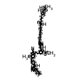 C=CC(=O)Nc1ccc(CCn2c(C#N)cc3c(C)c(CN4CCC(Nc5ncnc6sc(CC(F)(F)F)cc56)CC4)ccc32)cc1OCc1cn(CCOCCOCCOCCNC(=O)CCCC[C@@H]2C[C@H](NC(=O)NC)CS2)nn1